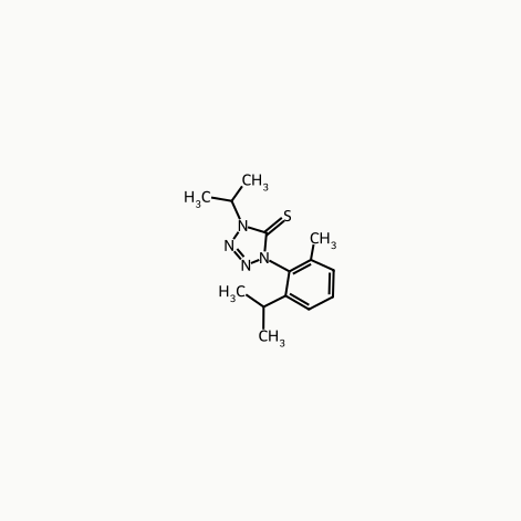 Cc1cccc(C(C)C)c1-n1nnn(C(C)C)c1=S